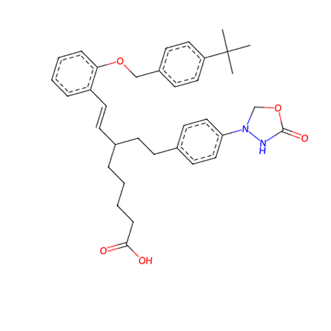 CC(C)(C)c1ccc(COc2ccccc2C=CC(CCCCC(=O)O)CCc2ccc(N3COC(=O)N3)cc2)cc1